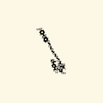 CNc1ccc(-c2nc3ccc(OCCOCCOCCOCCOCCOCC(=O)NC(C(=O)N4C[C@H](O)C[C@H]4C(=O)NC(C)c4ccc(-c5scnc5C)cc4)C(C)(C)C)cc3s2)cc1